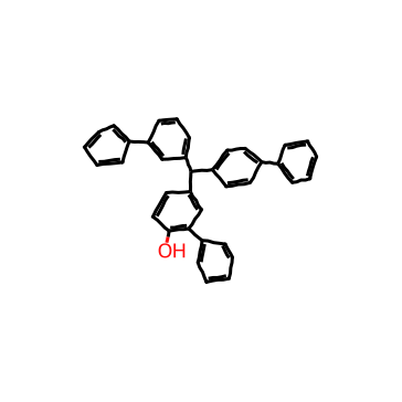 Oc1ccc(C(c2ccc(-c3ccccc3)cc2)c2cccc(-c3ccccc3)c2)cc1-c1ccccc1